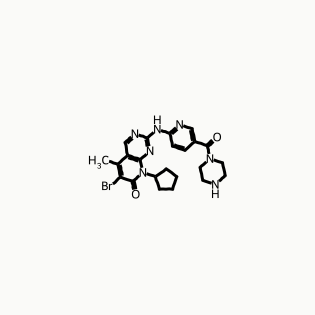 Cc1c(Br)c(=O)n(C2CCCC2)c2nc(Nc3ccc(C(=O)N4CCNCC4)cn3)ncc12